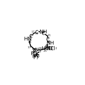 Cl.Cl.Cl.[CH3][Ti]([CH3])([CH3])([F])([F])([F])([F])[N]1CCCNCCCNCCCNCCC1